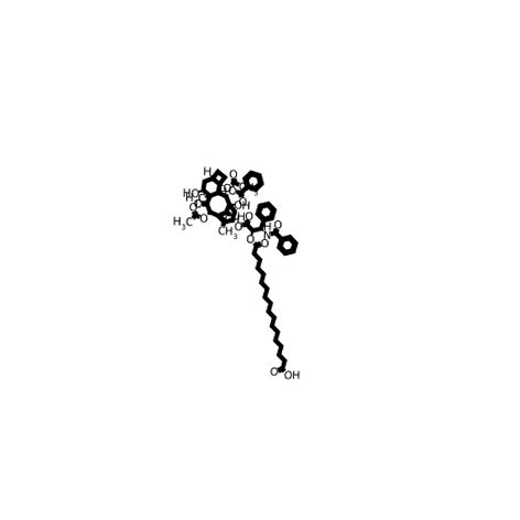 CC(=O)O[C@H]1C(=O)[C@@]2(C)[C@H]([C@H](OC(=O)c3ccccc3)[C@]3(O)C[C@H](OC(=O)[C@H](OC(=O)CCCCCCCCCCCCCCCCC(=O)O)[C@@H](NC(=O)c4ccccc4)c4ccccc4)C(C)=C1C3(C)C)[C@]1(OC(C)=O)CC[C@@H]1C[C@@H]2O